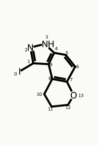 Ic1n[nH]c2ccc3c(c12)CCCO3